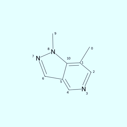 Cc1cncc2cnn(C)c12